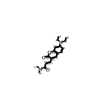 CCN(CC)c1ccc2cc(/C=C/C(=O)N(C)C)c(=O)oc2c1